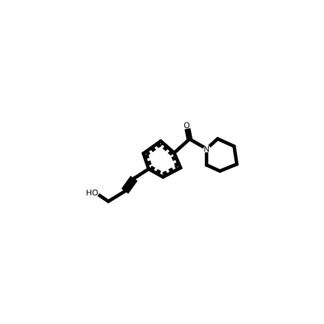 O=C(c1ccc(C#CCO)cc1)N1CCCCC1